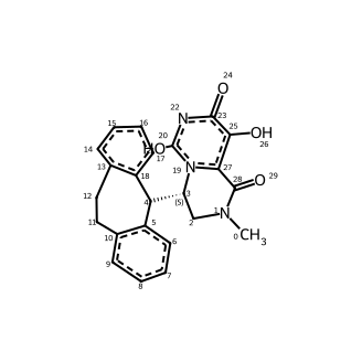 CN1C[C@H](C2c3ccccc3CCc3ccccc32)n2c(O)nc(=O)c(O)c2C1=O